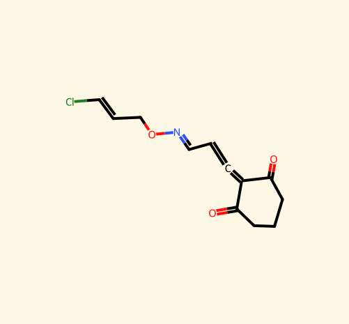 O=C1CCCC(=O)C1=C=CC=NOCC=CCl